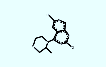 CC1COCCN1c1nc(Cl)nc2cnc(Cl)cc12